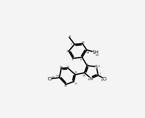 Cc1ccc(-c2sc(Cl)nc2-c2ccc(Cl)cc2)c(S)c1